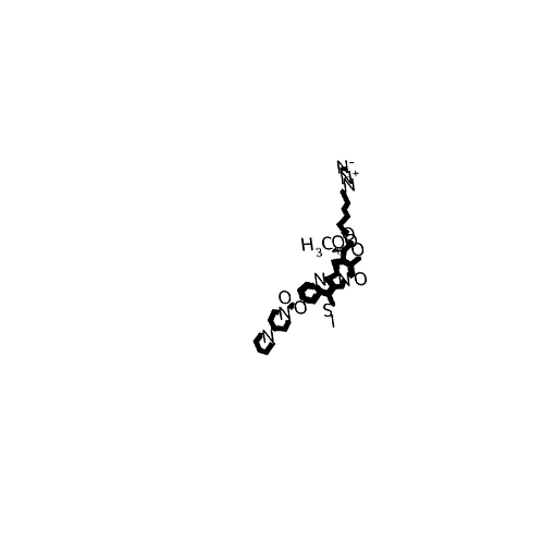 CC[C@@]1(OC(=O)CCCCCN=[N+]=[N-])C(=O)OCc2c1cc1n(c2=O)Cc2c-1nc1ccc(OC(=O)N3CCC(N4CCCCC4)CC3)cc1c2CSI